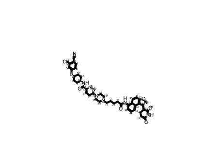 N#Cc1ccc(O[C@H]2CC[C@H](NC(=O)C3=CCC(N4CCN(CCCCC(=O)Nc5cccc6c5ccc5onc(C7CCC(=O)NC7=O)c56)CC4)N=N3)CC2)cc1Cl